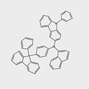 c1ccc(-n2c3ccccc3c3cc(N(c4ccc(C5(c6ccccc6)c6ccccc6-c6ccccc65)cc4)c4cccc5ccccc45)ccc32)cc1